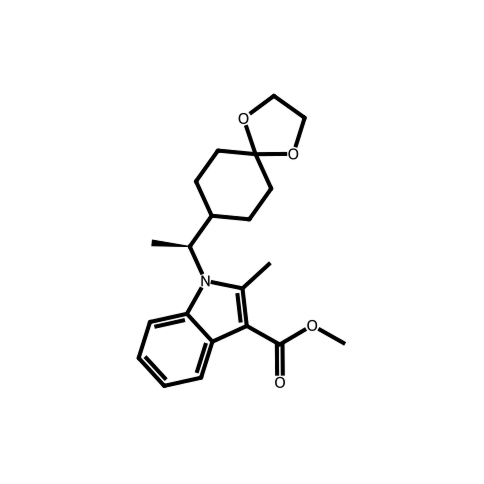 COC(=O)c1c(C)n([C@@H](C)C2CCC3(CC2)OCCO3)c2ccccc12